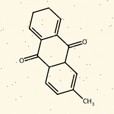 CC1=CC2C(=O)C3=CCCC=C3C(=O)C2C=C1